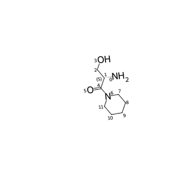 N[C@@H](CO)C(=O)N1CCCCC1